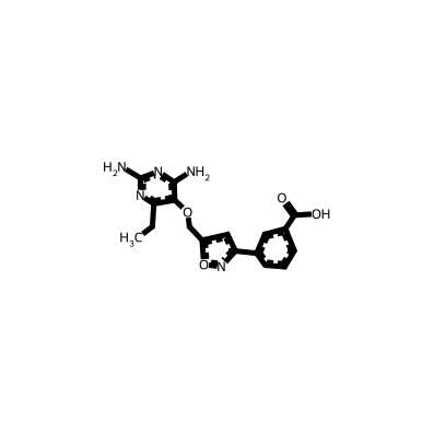 CCc1nc(N)nc(N)c1OCc1cc(-c2cccc(C(=O)O)c2)no1